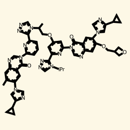 Cc1cc2ncn(-c3cccc(-c4nncn4C(C)COc4cc(-c5nncn5C(C)C)nc(-n5cnc6cc(OCC7COC7)c(-n7cnc(C8CC8)c7)cc6c5=O)c4)n3)c(=O)c2cc1-n1cnc(C2CC2)c1